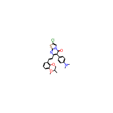 COc1cccc(C=Cc2nc3sc(Cl)cn3c(=O)c2-c2ccc(N(C)C)cc2)c1OCC(C)C